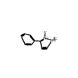 [S-][N+]1=C(c2ccccc2)C=C[NH+]1[S-]